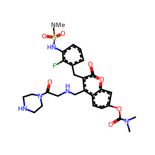 CNS(=O)(=O)Nc1cccc(Cc2c(CNCC(=O)N3CCNCC3)c3ccc(OC(=O)N(C)C)cc3oc2=O)c1F